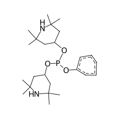 CC1(C)CC(OP(Oc2ccccc2)OC2CC(C)(C)NC(C)(C)C2)CC(C)(C)N1